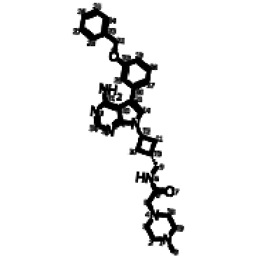 CN1CCN(CC(=O)NC[C@H]2C[C@H](n3cc(-c4cccc(OCc5ccccc5)c4)c4c(N)ncnc43)C2)CC1